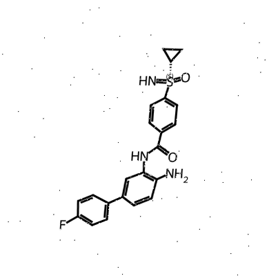 N=[S@@](=O)(c1ccc(C(=O)Nc2cc(-c3ccc(F)cc3)ccc2N)cc1)C1CC1